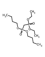 CCCCOP(=O)(CP(=O)(OCC)OCC)OCCCC